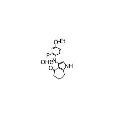 CCOc1ccc(N(C=O)c2c[nH]c3c2C(=O)CCCC3)c(F)c1